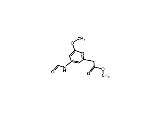 COC(=O)Cc1cc(NC=O)cc(OC)n1